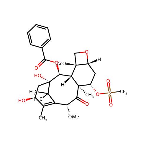 CO[C@H]1C(=O)[C@]2(C)[C@@H](OS(=O)(=O)C(F)(F)F)C[C@H]3OC[C@@]3(OC(C)=O)[C@H]2[C@H](OC(=O)c2ccccc2)[C@]2(O)C[C@H](O)C(C)=C1C2(C)C